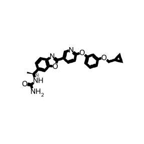 C[C@H](NC(N)=O)c1ccc2nc(-c3ccc(Oc4cccc(OCC5CC5)c4)nc3)oc2c1